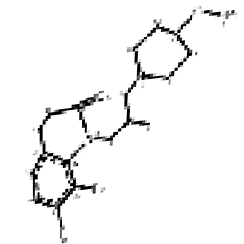 CCCOC1CCN(CC(C)CN2C(=O)CCc3ccc(F)c(F)c32)CC1